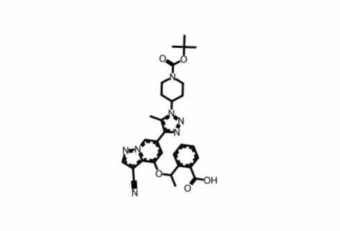 Cc1c(-c2cc(OC(C)c3ccccc3C(=O)O)c3c(C#N)cnn3c2)nnn1C1CCN(C(=O)OC(C)(C)C)CC1